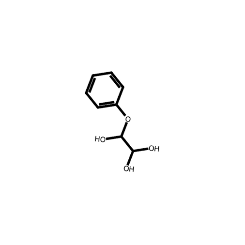 OC(O)C(O)Oc1ccccc1